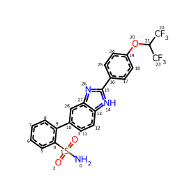 NS(=O)(=O)c1ccccc1-c1ccc2[nH]c(-c3ccc(OC(C(F)(F)F)C(F)(F)F)cc3)nc2c1